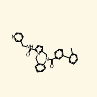 Cc1ccccc1-c1cccc(C(=O)N2Cc3ccc(C(=O)NCc4cccnc4)n3Cc3ccccc32)c1